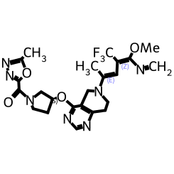 C=N/C(OC)=C(\C=C(/C)N1CCc2ncnc(O[C@H]3CCN(C(=O)c4nnc(C)o4)C3)c2C1)C(F)(F)F